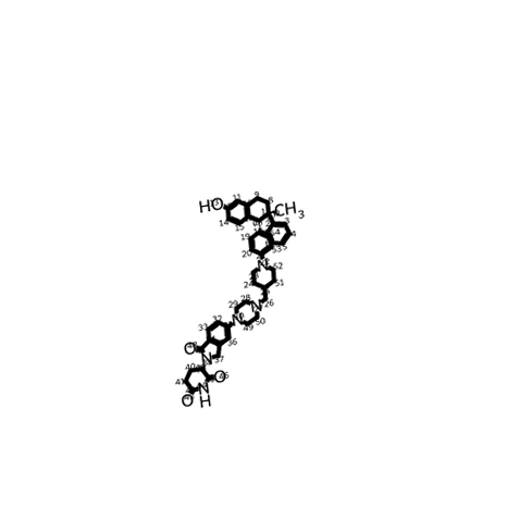 C[C@]1(c2ccccc2)CCc2cc(O)ccc2[C@H]1c1ccc(N2CCC(CN3CCN(c4ccc5c(c4)CN([C@H]4CCC(=O)NC4=O)C5=O)CC3)CC2)cc1